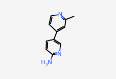 Cc1cc(-c2ccc(N)nc2)ccn1